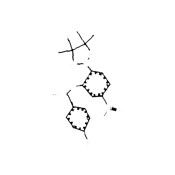 C[C@H](Oc1cc([N+](=O)[O-])ccc1B1OC(C)(C)C(C)(C)O1)c1ccc(F)cc1